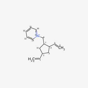 C=CC1CC(C=C)C(C[n+]2ccccc2)C1